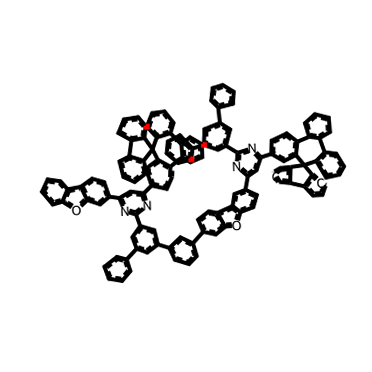 c1ccc(-c2cc(-c3cccc(-c4ccc5c(c4)oc4ccc(-c6cc(-c7ccc8c(c7)C7(c9ccccc9-c9ccccc9-8)c8ccccc8-c8ccccc87)nc(-c7cc(-c8ccccc8)cc(-c8ccccc8)c7)n6)cc45)c3)cc(-c3nc(-c4ccc5c(c4)C4(c6ccccc6-c6ccccc6-5)c5ccccc5-c5ccccc54)cc(-c4ccc5c(c4)oc4ccccc45)n3)c2)cc1